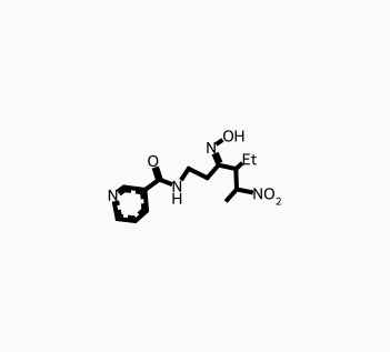 CCC(C(CCNC(=O)c1cccnc1)=NO)C(C)[N+](=O)[O-]